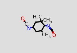 CC1CC(N=C=O)CC(C)(C)C1N=C=O